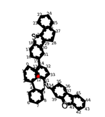 c1ccc(-c2ccccc2N(c2ccc(-c3ccc4sc5c6ccccc6ccc5c4c3)cc2)c2ccc3c(c2)oc2ccccc23)cc1